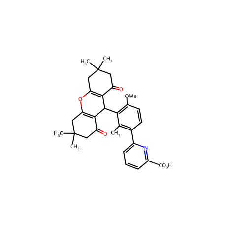 COc1ccc(-c2cccc(C(=O)O)n2)c(C)c1C1C2=C(CC(C)(C)CC2=O)OC2=C1C(=O)CC(C)(C)C2